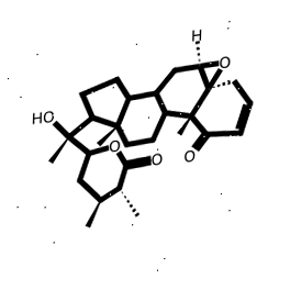 C[C@H]1CC([C@](C)(O)C2CCC3C4C[C@H]5O[C@]56CC=CC(=O)[C@]6(C)C4CC[C@@]32C)OC(=O)[C@@H]1C